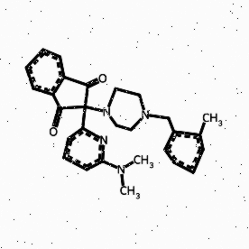 Cc1ccccc1CN1CCN(C2(c3cccc(N(C)C)n3)C(=O)c3ccccc3C2=O)CC1